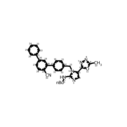 CCCCNc1ncc(-c2nnc(C)o2)n1Cc1ccc(-c2cc(-c3ccccc3)ccc2C#N)cc1